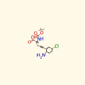 CC(C)(C)OC(=O)N[C@H](CC#Cc1cc(Cl)ccc1N)C(=O)O